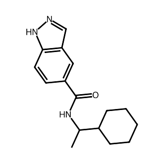 CC(NC(=O)c1ccc2[nH]ncc2c1)C1CCCCC1